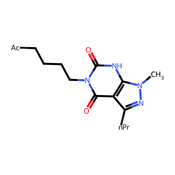 CCCc1nn(C)c2[nH]c(=O)n(CCCCC(C)=O)c(=O)c12